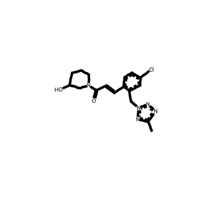 Cc1nnn(Cc2cc(Cl)ccc2C=CC(=O)N2CCCC(O)C2)n1